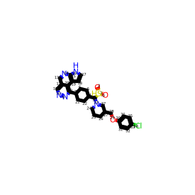 O=[SH](=O)C(C1CCC(c2nncc3cnc4[nH]ccc4c23)CC1)N1CCCC(COc2ccc(Cl)cc2)C1